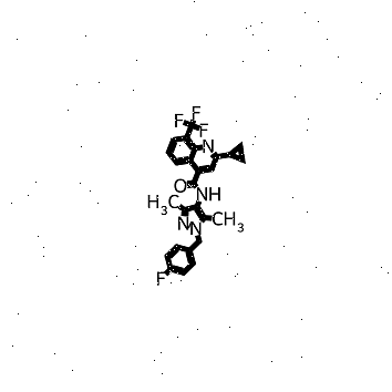 Cc1nn(Cc2ccc(F)cc2)c(C)c1NC(=O)c1cc(C2CC2)nc2c(C(F)(F)F)cccc12